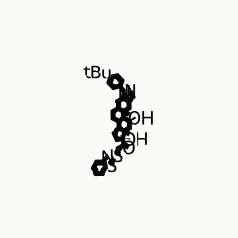 CC(C)(C)c1ccc(-n2ncc3c2C=C2CCC4C([C@@H](O)CC5(C)C4CC[C@]5(O)C(=O)CSc4nc5ccccc5s4)C2(C)C3)cc1